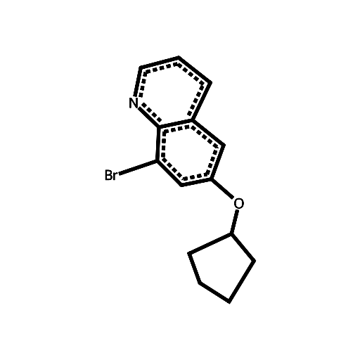 Brc1cc(OC2CCCC2)cc2cccnc12